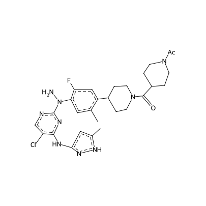 CC(=O)N1CCC(C(=O)N2CCC(c3cc(F)c(N(N)c4ncc(Cl)c(Nc5cc(C)[nH]n5)n4)cc3C)CC2)CC1